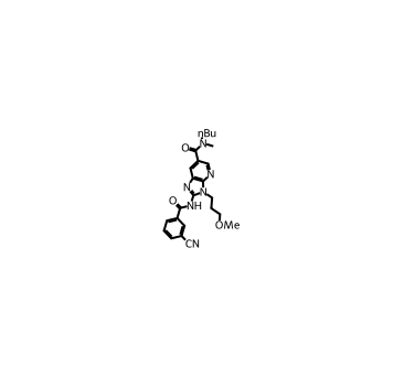 CCCCN(C)C(=O)c1cnc2c(c1)nc(NC(=O)c1cccc(C#N)c1)n2CCCOC